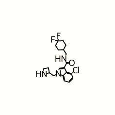 O=C(NCC1CCC(F)(F)CC1)c1cn(CC2CCN2)c2cccc(Cl)c12